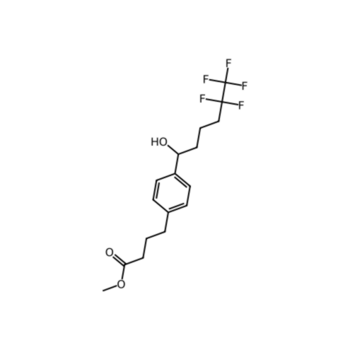 COC(=O)CCCc1ccc(C(O)CCCC(F)(F)C(F)(F)F)cc1